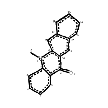 Cn1c2ccccc2c(=O)c2cc3ccccc3cc21